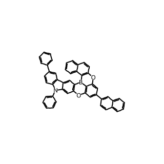 c1ccc(-c2ccc3c(c2)c2cc4c(cc2n3-c2ccccc2)Oc2cc(-c3ccc5ccccc5c3)cc3c2B4c2c(ccc4ccccc24)O3)cc1